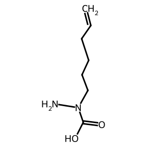 C=CCCCCN(N)C(=O)O